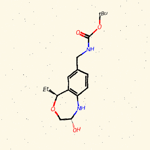 CC[C@@H]1OC[C@@H](O)Nc2ccc(CNC(=O)OC(C)(C)C)cc21